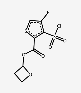 O=C(OC1CCO1)c1scc(F)c1S(=O)(=O)Cl